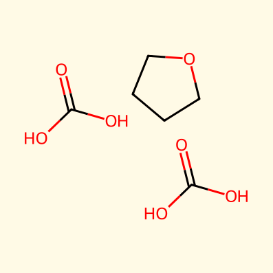 C1CCOC1.O=C(O)O.O=C(O)O